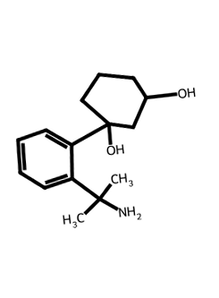 CC(C)(N)c1ccccc1C1(O)CCCC(O)C1